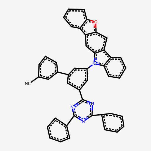 N#Cc1cccc(-c2cc(-c3nc(-c4ccccc4)nc(-c4ccccc4)n3)cc(-n3c4ccccc4c4cc5oc6ccccc6c5cc43)c2)c1